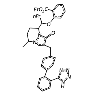 CCCC(Oc1ccccc1C(=O)OCC)C1CCC(C)n2cc(Cc3ccc(-c4ccccc4-c4nnn[nH]4)cc3)c(=O)n21